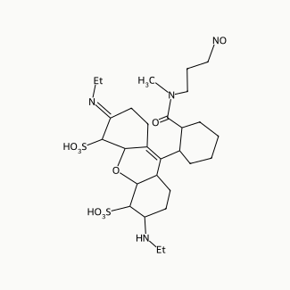 CC/N=C1\CCC2=C(C3CCCCC3C(=O)N(C)CCCN=O)C3CCC(NCC)C(S(=O)(=O)O)C3OC2C1S(=O)(=O)O